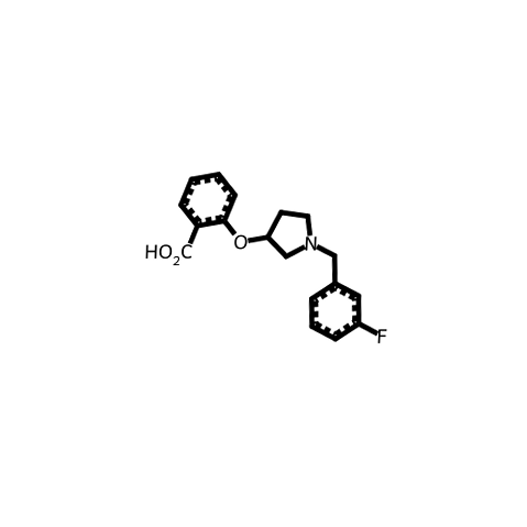 O=C(O)c1ccccc1OC1CCN(Cc2cccc(F)c2)C1